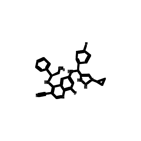 CC[C@@H](Nc1c(C#N)cnc2c(F)cc(NC(C3=CN(C4CC4)NN3)c3ccc(F)cc3)cc12)c1ccccc1